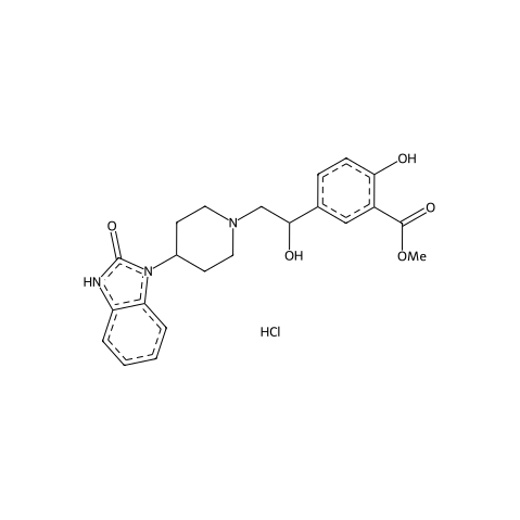 COC(=O)c1cc(C(O)CN2CCC(n3c(=O)[nH]c4ccccc43)CC2)ccc1O.Cl